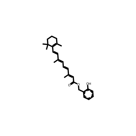 CC1=C(/C=C/C(C)=C/C=C/C(C)=C/C(=O)OCc2ccccc2O)C(C)(C)CCC1